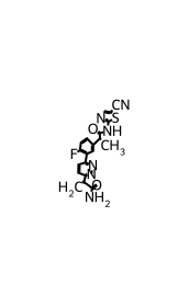 C=C(C(N)=O)c1ccc(-c2cc(C(C)C(=O)Nc3ncc(C#N)s3)ccc2F)nn1